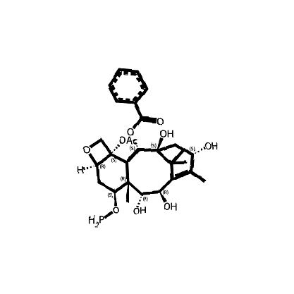 CC(=O)O[C@@]12CO[C@@H]1C[C@H](OP)[C@]1(C)C2[C@H](OC(=O)c2ccccc2)[C@]2(O)C[C@H](O)C(C)=C([C@@H](O)[C@@H]1O)C2(C)C